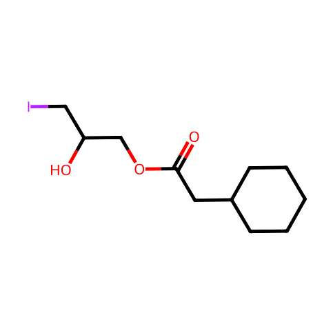 O=C(CC1CCCCC1)OCC(O)CI